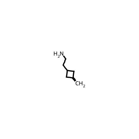 C=C1CC(CCN)C1